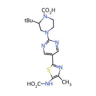 Cc1nc(-c2cnc(N3CCN(C(=O)O)C(C(C)(C)C)C3)nc2)sc1NC(=O)O